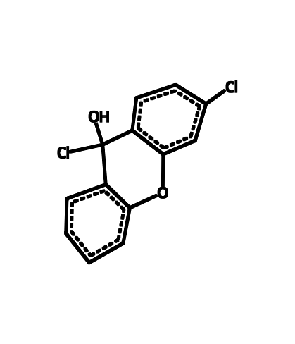 OC1(Cl)c2ccccc2Oc2cc(Cl)ccc21